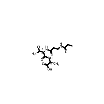 CC(C)[C@H](NC(=O)CCNC(=O)CI)C(=O)N[C@@H](C)C(=O)O